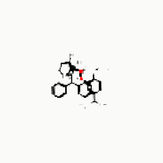 COc1ccc(C(C)C)cc1CN[C@@H]1[C@H]2CCN(C[C@@H]2C(=O)O)[C@@H]1C(c1ccccc1)c1ccccc1